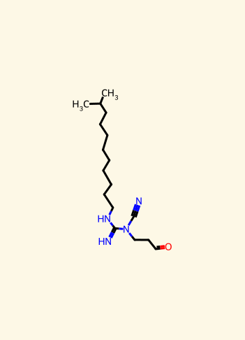 CC(C)CCCCCCCCCNC(=N)N(C#N)CCC=O